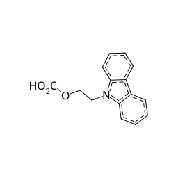 O=C(O)OCCn1c2ccccc2c2ccccc21